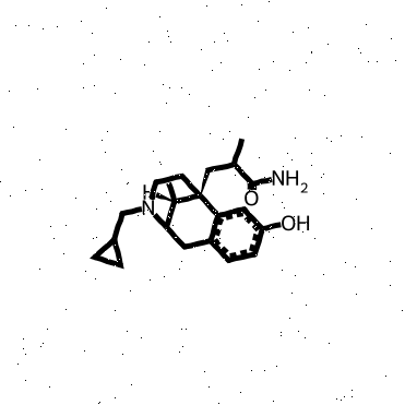 CC(C[C@@]12CCN(CC3CC3)C(Cc3ccc(O)cc31)[C@@H]2C)C(N)=O